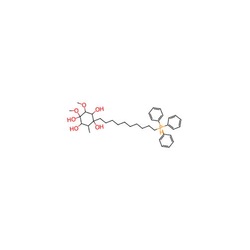 COC1C(O)C(O)(CCCCCCCCCC[PH](c2ccccc2)(c2ccccc2)c2ccccc2)C(C)C(O)C1(O)OC